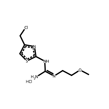 COCC/N=C(/N)Nc1nc(CCl)cs1.Cl